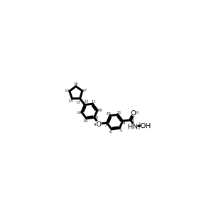 O=C(NO)c1ccc(Oc2ccc(C3CCCC3)cc2)cc1